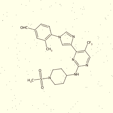 Cc1cc(C=O)ccc1-n1cnc(-c2nc(NC3CCN(S(C)(=O)=O)CC3)ncc2C(F)(F)F)c1